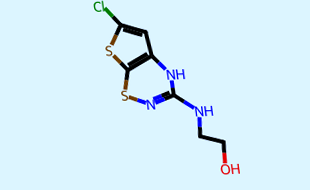 OCCNC1=NSc2sc(Cl)cc2N1